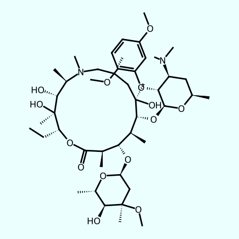 CC[C@H]1OC(=O)[C@H](C)[C@@H](O[C@H]2C[C@@](C)(OC)[C@@H](O)[C@H](C)O2)[C@H](C)[C@@H](O[C@@H]2O[C@H](C)C[C@H](N(C)C)[C@H]2Oc2cc(OC)ccc2OC)[C@](C)(O)C[C@@H](C)CN(C)[C@H](C)[C@@H](O)[C@]1(C)O